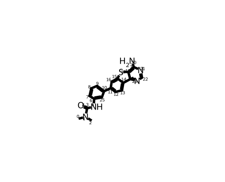 CN(C)C(=O)Nc1cccc(-c2ccc3c(c2)sc2c(N)ncnc23)c1